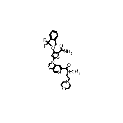 CN(CCN1CCOCC1)C(=O)c1cc2c(cn1)ncn2-c1cc(OCc2ccccc2C(F)(F)F)c(C(N)=O)s1